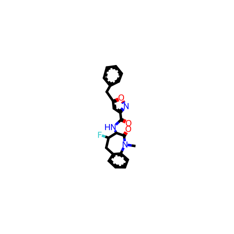 CN1C(=O)C(NC(=O)c2cc(Cc3ccccc3)on2)C(F)Cc2ccccc21